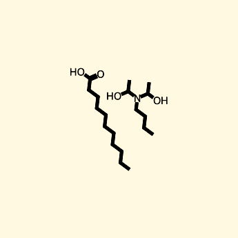 CCCCCCCCCCC(=O)O.CCCCN(C(C)O)C(C)O